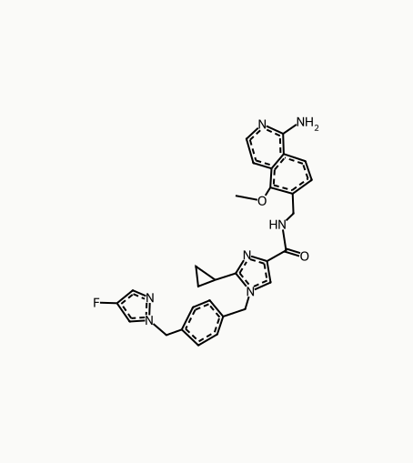 COc1c(CNC(=O)c2cn(Cc3ccc(Cn4cc(F)cn4)cc3)c(C3CC3)n2)ccc2c(N)nccc12